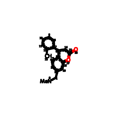 CNCc1ccc2c(-c3ccccc3C)cc(=O)oc2c1